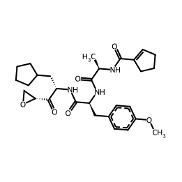 COc1ccc(C[C@H](NC(=O)[C@@H](C)NC(=O)C2=CCCC2)C(=O)N[C@@H](CC2CCCC2)C(=O)[C@H]2CO2)cc1